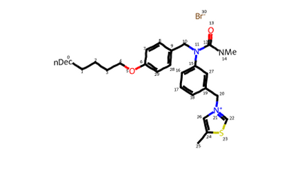 CCCCCCCCCCCCCCOc1ccc(CN(C(=O)NC)c2cccc(C[n+]3csc(C)c3)c2)cc1.[Br-]